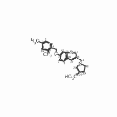 Cc1ccc(COc2ccc3c(c2)SCC(CN2CCC(C(=O)O)C2)=C3)c(C(F)(F)F)c1